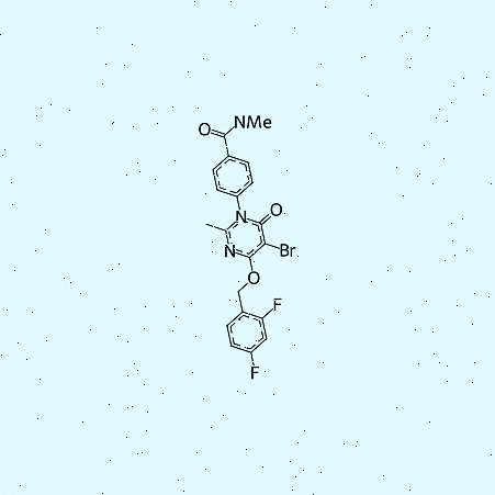 CNC(=O)c1ccc(-n2c(C)nc(OCc3ccc(F)cc3F)c(Br)c2=O)cc1